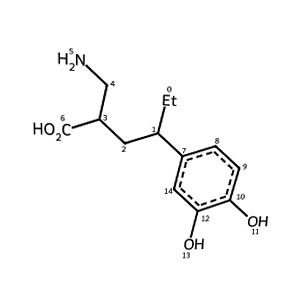 CCC(CC(CN)C(=O)O)c1ccc(O)c(O)c1